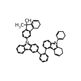 CC1(C)C2=C(CCC=C2)c2cc(-n3c4ccccc4c4cc(-c5ccccc5-c5cccc6c5c5c(n6C6=CCCC=C6)CCC=C5)ccc43)ccc21